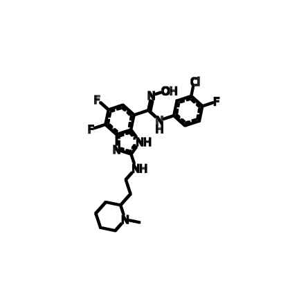 CN1CCCCC1CCNc1nc2c(F)c(F)cc(/C(=N/O)Nc3ccc(F)c(Cl)c3)c2[nH]1